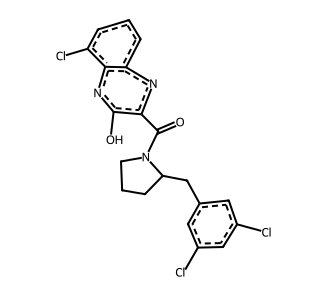 O=C(c1nc2cccc(Cl)c2nc1O)N1CCCC1Cc1cc(Cl)cc(Cl)c1